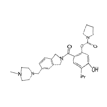 CC(C)c1cc(C(=O)N2Cc3ccc(CN4CCN(C)CC4)cc3C2)c(OC(=O)N2CCCC2)cc1O